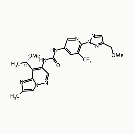 COCc1cnn(-c2ncc(NC(=O)Nc3cnn4cc(C)nc4c3[C@H](C)OC)cc2C(F)(F)F)n1